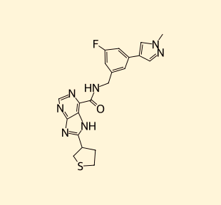 Cn1cc(-c2cc(F)cc(CNC(=O)c3ncnc4nc(C5CCSC5)[nH]c34)c2)cn1